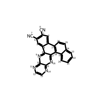 N#Cc1cc2c(cc1C#N)c1nc3nccnc3nc1c1c3ccccc3ccc21